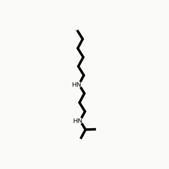 [CH2]CCCCCNCCCNC(C)C